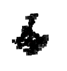 CC(=O)N[C@H]1[C@H](O[C@@H]2c3ccc(c(Cl)c3)Oc3cc4cc(c3O[C@@H]3O[C@H](COC(=O)CC(C)(C)CC(=O)NC(O)C=O)[C@@H](O)[C@H](O)[C@H]3NC(=O)CCCCCCCC(C)C)Oc3ccc(cc3Cl)C[C@H]3NC(=O)[C@H](N)c5ccc(O)c(c5)Oc5cc(O)cc(c5)[C@H](NC3=O)C(=O)N[C@H]4C(=O)N[C@H]3C(=O)N[C@@H]2C(=O)N[C@@H](C(=O)O)c2cc(O)cc(O[C@H]4O[C@H](CO)[C@@H](O)[C@H](O)[C@@H]4O)c2-c2cc3ccc2O)O[C@H](CO)[C@@H](O)[C@@H]1O